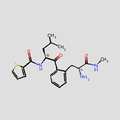 CNC(=O)[C@@H](N)Cc1ccccc1C(=O)[C@H](CC(C)C)NC(=O)c1cccs1